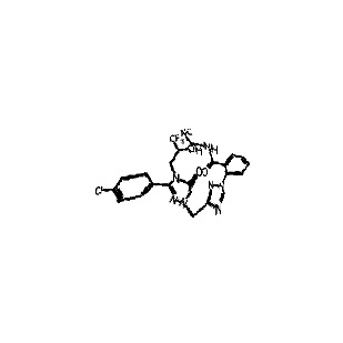 N#CCNC(=O)c1ccccc1-n1cnc(Cn2nc(-c3ccc(Cl)cc3)n(CC(O)C(F)(F)F)c2=O)n1